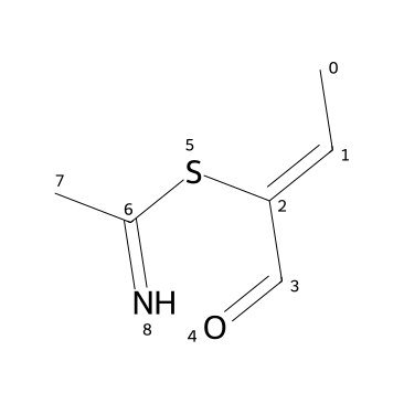 C/C=C(/C=O)SC(C)=N